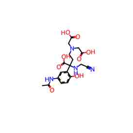 CC(=O)Nc1ccc(O)c(C(CCN(CC(=O)O)CC(=O)O)(NCC#N)C(=O)O)c1